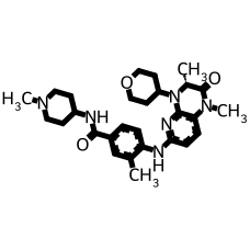 Cc1cc(C(=O)NC2CCN(C)CC2)ccc1Nc1ccc2c(n1)N(C1CCOCC1)[C@H](C)C(=O)N2C